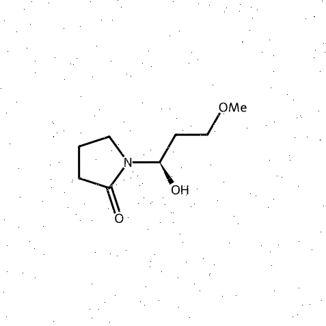 COCC[C@@H](O)N1CCCC1=O